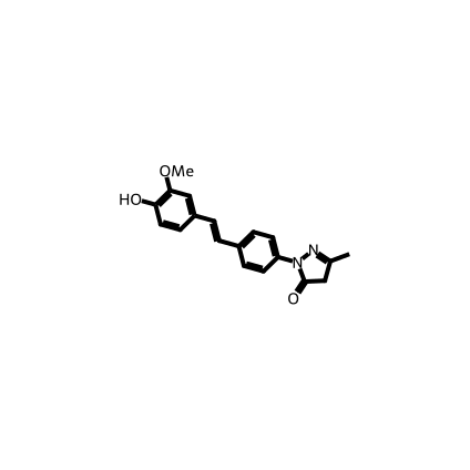 COc1cc(C=Cc2ccc(N3N=C(C)CC3=O)cc2)ccc1O